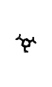 CN(C)c1cc(N(C)C)cc(C(C)(C)C)c1